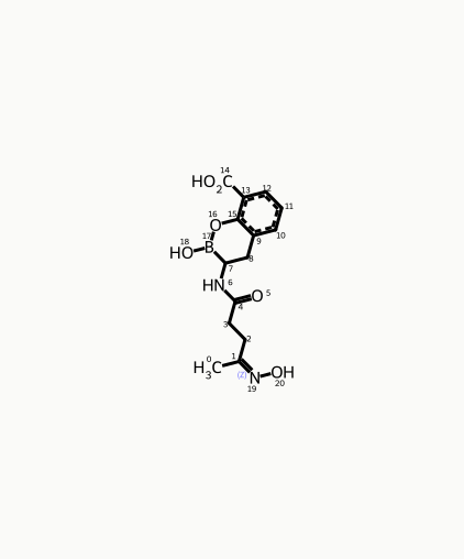 C/C(CCC(=O)NC1Cc2cccc(C(=O)O)c2OB1O)=N/O